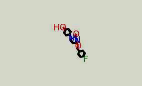 O=c1nc(OCc2ccc(F)cc2)ccn1-c1ccc(O)cc1